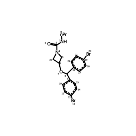 CCCNC(=O)N1CC(OC(c2ccc(Br)cc2)c2ccc(Br)cc2)C1